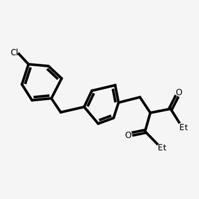 CCC(=O)C(Cc1ccc(Cc2ccc(Cl)cc2)cc1)C(=O)CC